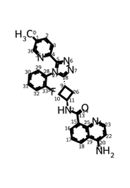 Cc1ccc(-c2nnc([C@H]3C[C@H](NC(=O)c4cccc5c(N)ccnc45)C3)n2-c2ccccc2F)nc1